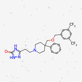 O=c1[nH]nc(CCN2CCC(COCc3cc(C(F)(F)F)cc(C(F)(F)F)c3)(c3ccccc3)CC2)[nH]1